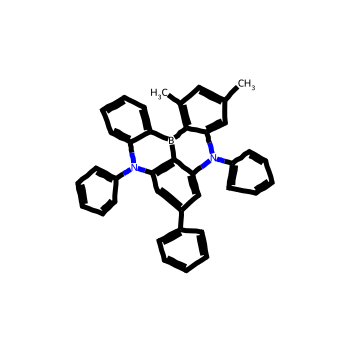 Cc1cc(C)c2c(c1)N(c1ccccc1)c1cc(-c3ccccc3)cc3c1B2c1ccccc1N3c1ccccc1